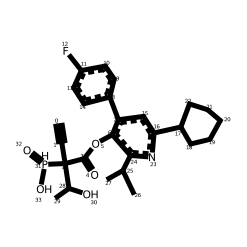 C#CC(C(=O)Oc1c(-c2ccc(F)cc2)cc(C2CCCCC2)nc1C(C)C)(C(C)O)[PH](=O)O